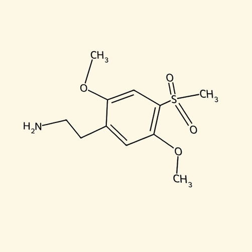 COc1cc(S(C)(=O)=O)c(OC)cc1CCN